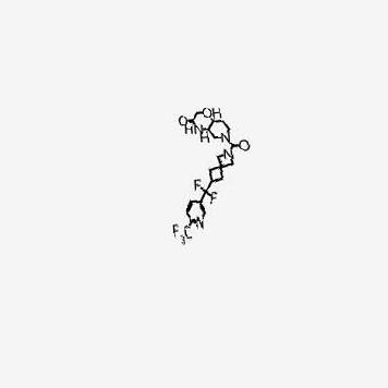 O=C1CO[C@H]2CCN(C(=O)N3CC4(CC(C(F)(F)c5ccc(C(F)(F)F)nc5)C4)C3)C[C@H]2N1